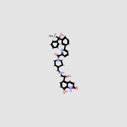 O=C(c1cccc(-c2cccc(C(O)(C(=O)O)c3ccccc3)c2)n1)N1CCC(CNCC(O)c2ccc(O)c3[nH]c(=O)ccc23)CC1